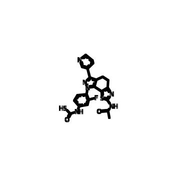 CC(=O)Nc1nc2c(s1)-c1c(c(-c3cccnc3)nn1-c1ccc(NC(=O)S)cc1F)CC2